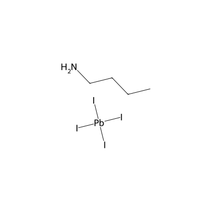 CCCCN.[I][Pb]([I])([I])[I]